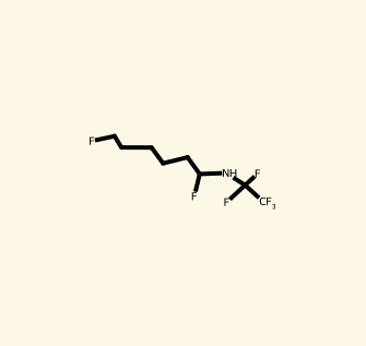 FCCCCCC(F)NC(F)(F)C(F)(F)F